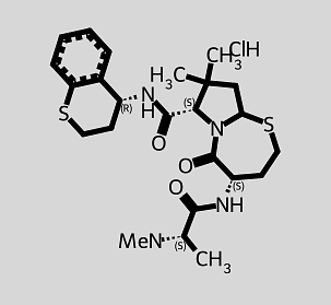 CN[C@@H](C)C(=O)N[C@H]1CCSC2CC(C)(C)[C@@H](C(=O)N[C@@H]3CCSc4ccccc43)N2C1=O.Cl